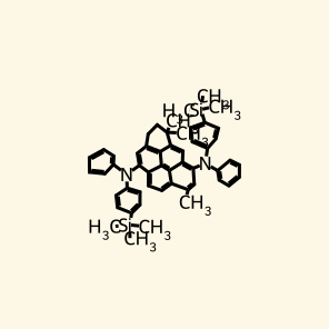 Cc1cc(N(c2ccccc2)c2ccc([Si](C)(C)C)cc2)c2cc3c4c(cc(N(c5ccccc5)c5ccc([Si](C)(C)C)cc5)c5ccc1c2c54)CCC3(C)C